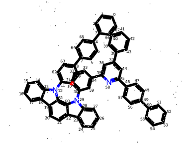 c1ccc(-c2ccc(-c3ccc(-n4c5ccccc5c5ccc6c7ccccc7n(-c7cccc(-c8cc(-c9ccccc9)cc(-c9ccc(-c%10ccccc%10)cc9)n8)c7)c6c54)cc3)cc2)cc1